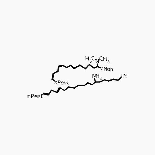 CCCCC/C=C\C/C=C\CCCCCCCC(CCCCCCCCC)N(C)C.CCCCCC=CCC=CCCCCCCCC(N)CCCCCC(C)C